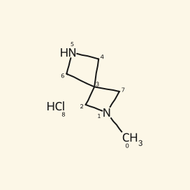 CN1CC2(CNC2)C1.Cl